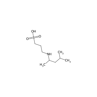 CC(C)CC(C)NCCCS(=O)(=O)O